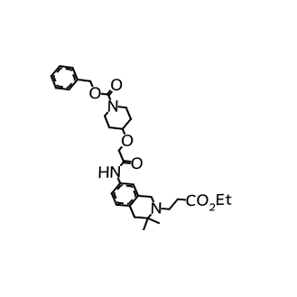 CCOC(=O)CCN1Cc2cc(NC(=O)COC3CCN(C(=O)OCc4ccccc4)CC3)ccc2CC1(C)C